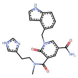 CN(CCc1c[nH]cn1)C(=O)c1cc(C(N)=O)cn(Cc2cccc3[nH]ccc23)c1=O